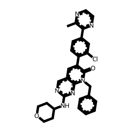 Cc1nccnc1-c1ccc(-c2cc3cnc(NC4CCOCC4)nc3n(Cc3ccccc3)c2=O)c(Cl)c1